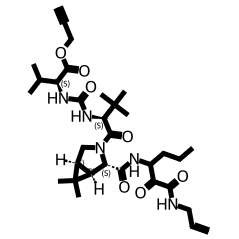 C#CCOC(=O)[C@@H](NC(=O)N[C@H](C(=O)N1C[C@H]2[C@@H]([C@H]1C(=O)NC(CCC)C(=O)C(=O)NCC=C)C2(C)C)C(C)(C)C)C(C)C